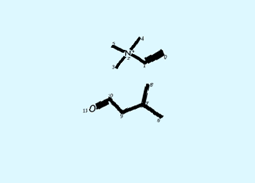 C=C[N+](C)(C)C.CC(C)CC=O